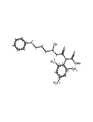 COC(=O)C(C(=O)CC(O)CCCSc1ccccc1)c1c(C)cc(C)cc1C